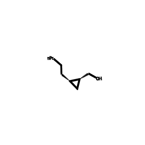 CCCCC[C@H]1C[C@H]1CO